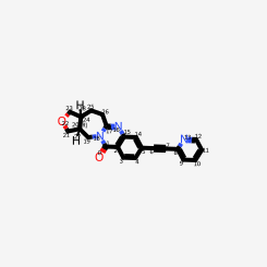 O=c1c2ccc(C#Cc3ccccn3)cc2nc2n1C[C@@H]1COC[C@@H]1CC2